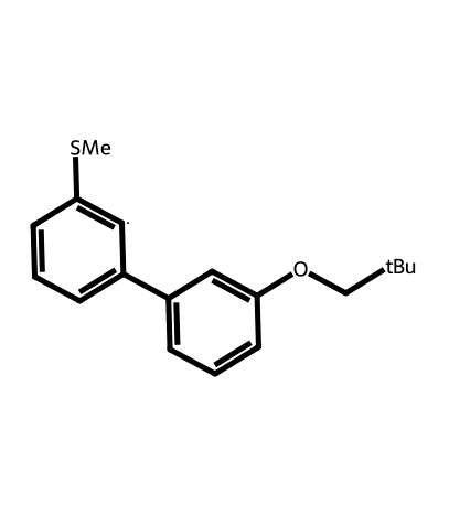 CSc1[c]c(-c2cccc(OCC(C)(C)C)c2)ccc1